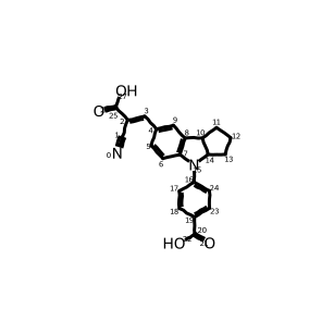 N#C/C(=C\c1ccc2c(c1)C1CCCC1N2c1ccc(C(=O)O)cc1)C(=O)O